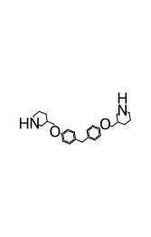 c1cc(OCC2CCCNC2)ccc1Cc1ccc(OCC2CCCNC2)cc1